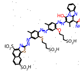 Cc1cc(N=Nc2cc(OCCCS(=O)(=O)O)c(N=Nc3c(C)c(C(N)=O)c4nc5ccccc5n4c3O)cc2C)c(SCCCS(=O)(=O)O)cc1N=Nc1nc2c(S(=O)(=O)O)cc3ccc(S(=O)(=O)O)cc3c2s1